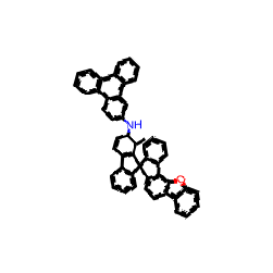 CC1C2=C(C=CC1Nc1ccc3c4ccccc4c4ccccc4c3c1)c1ccccc1C21c2ccccc2-c2c1ccc1c2oc2ccccc21